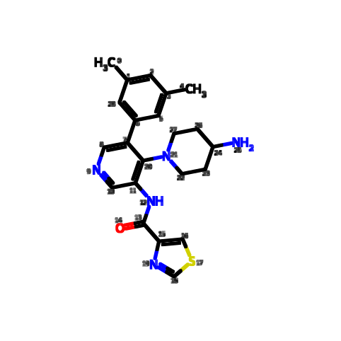 Cc1cc(C)cc(-c2cncc(NC(=O)c3cscn3)c2N2CCC(N)CC2)c1